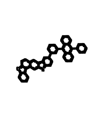 c1ccc(-c2c3ccccc3c(-c3cccc(-c4ccc5sc6cc7c(ccc8oc9ccccc9c87)cc6c5c4)c3)c3ccccc23)cc1